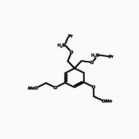 COCOC1=CC(CO[SiH2]C(C)C)(CO[SiH2]C(C)C)CC(OCOC)=C1